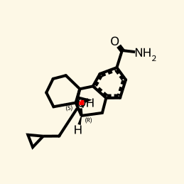 NC(=O)c1ccc2c(c1)C13CCCC[C@@]1(O)[C@@H](C2)N(CC1CC1)CC3